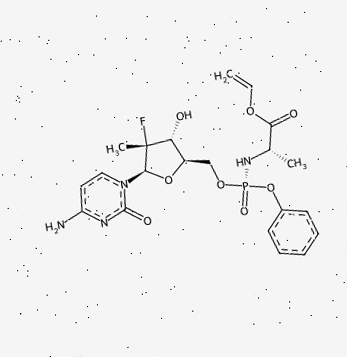 C=COC(=O)[C@H](C)N[P@](=O)(OC[C@H]1O[C@@H](n2ccc(N)nc2=O)[C@](C)(F)[C@@H]1O)Oc1ccccc1